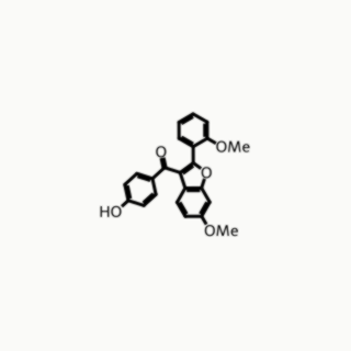 COc1ccc2c(C(=O)c3ccc(O)cc3)c(-c3ccccc3OC)oc2c1